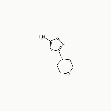 Nc1nc(N2CCOCC2)ns1